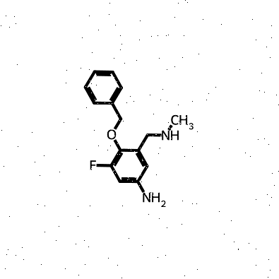 CNCc1cc(N)cc(F)c1OCc1ccccc1